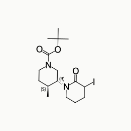 C[C@H]1CCN(C(=O)OC(C)(C)C)C[C@@H]1N1CCCC(I)C1=O